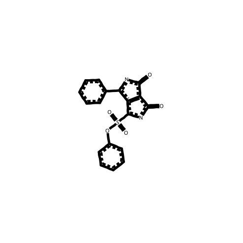 O=c1nc(-c2ccccc2)c2c(S(=O)(=O)Oc3ccccc3)nc(=O)c1=2